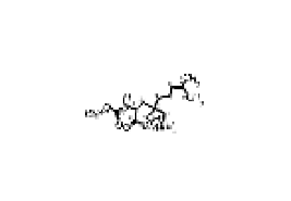 C=CC(C)(CCC=C(C)C)C[C@H](NC(=O)OC(C)(C)C)C(=O)OC